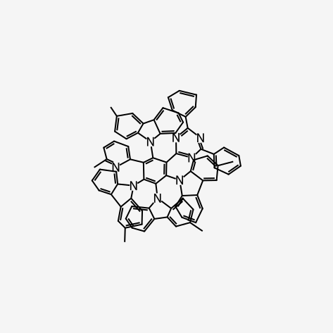 Cc1ccc2c(c1)c1ccccc1n2-c1c(-c2cccc(C)n2)c(-n2c3ccccc3c3cc(C)ccc32)c(-n2c3ccccc3c3cc(C)ccc32)c(-n2c3ccccc3c3cc(C)ccc32)c1-c1nc(-c2ccccc2)nc(-c2ccccc2)n1